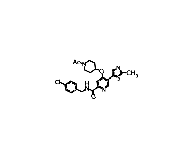 CC(=O)N1CCC(Oc2cc(C(=O)NCc3ccc(Cl)cc3)ncc2-c2cnc(C)s2)CC1